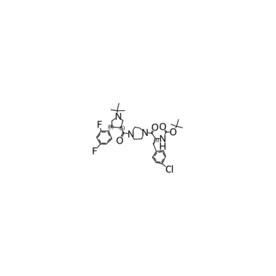 CC(C)(C)OC(=O)N[C@@H](Cc1ccc(Cl)cc1)C(=O)N1CCN(C(=O)[C@@H]2CN(C(C)(C)C)C[C@H]2c2ccc(F)cc2F)CC1